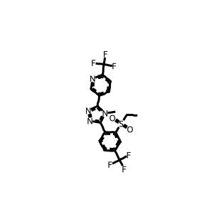 CCS(=O)(=O)c1cc(C(F)(F)F)ccc1-c1nnc(-c2ccc(C(F)(F)F)nc2)n1C